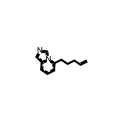 C=CCCCc1cccc2cncn12